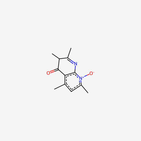 CC1=Nc2c(c(C)cc(C)[n+]2[O-])C(=O)C1C